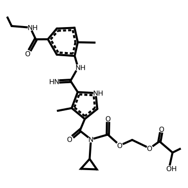 CCNC(=O)c1ccc(C)c(NC(=N)c2[nH]cc(C(=O)N(C(=O)OCOC(=O)C(C)O)C3CC3)c2C)c1